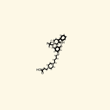 C[C@@H]1Cc2c([nH]c3ccccc23)[C@@H](c2c(F)cc(OCCCCN3CCN(CCC(=O)O)CC3)cc2F)N1CC(C)(C)F